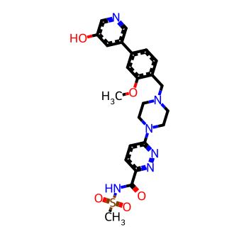 COc1cc(-c2cncc(O)c2)ccc1CN1CCN(c2ccc(C(=O)NS(C)(=O)=O)nn2)CC1